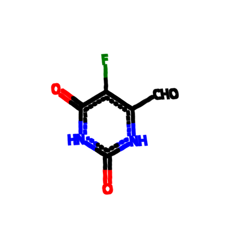 O=Cc1[nH]c(=O)[nH]c(=O)c1F